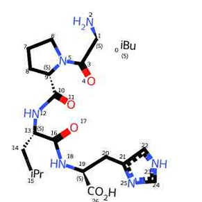 CC[C@H](C)[C@H](N)C(=O)N1CCC[C@H]1C(=O)N[C@@H](CC(C)C)C(=O)N[C@@H](Cc1c[nH]cn1)C(=O)O